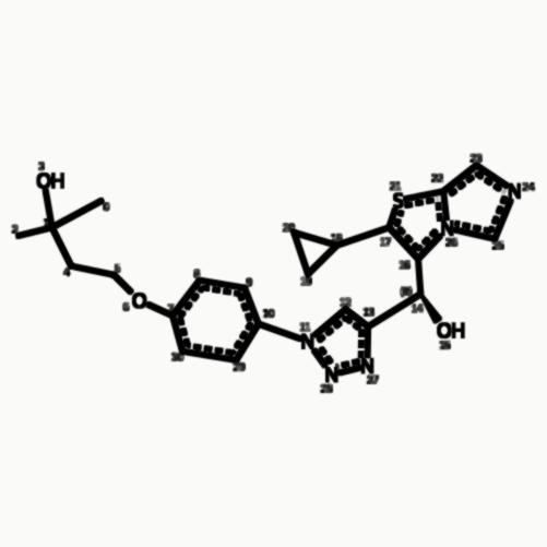 CC(C)(O)CCOc1ccc(-n2cc([C@H](O)c3c(C4CC4)sc4cncn34)nn2)cc1